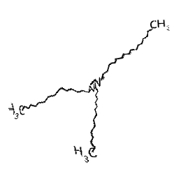 CCCCCCCCCCCCCCCCCC[n+]1ccn(CCCCCCCCCCCCCCC)c1CCCCCCCCCCCCCC